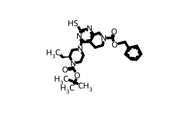 CC[C@H]1CN(c2nc(S)nc3c2CCN(C(=O)OCc2ccccc2)C3)CCN1C(=O)OC(C)(C)C